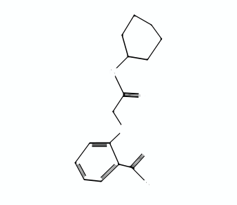 NC(=O)c1ccccc1OCC(=O)NC1CCCCC1